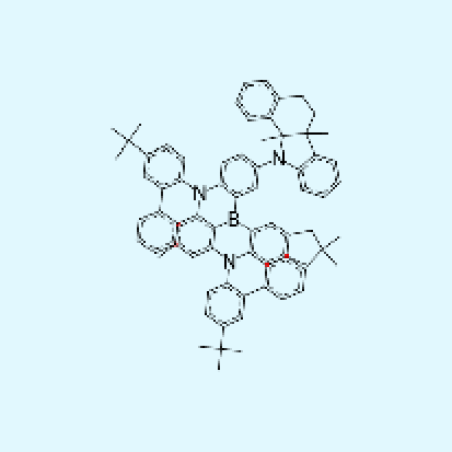 Cc1cc2c3c(c1)N(c1ccc(C(C)(C)C)cc1-c1ccccc1)c1cc4c(cc1B3c1cc(N3c5ccccc5C5(C)CCc6ccccc6C35C)ccc1N2c1ccc(C(C)(C)C)cc1-c1ccccc1)CC(C)(C)C4